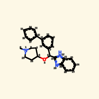 CN1CCC(OC(c2cccc(-c3ccccc3)c2)c2nc3ccccc3[nH]2)CC1